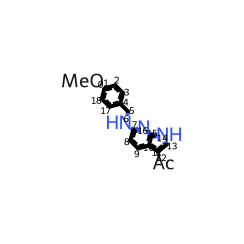 COc1ccc(CNc2ccc3c(C(C)=O)c[nH]c3n2)cc1